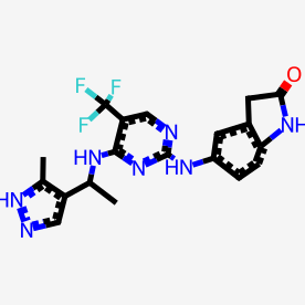 Cc1[nH]ncc1C(C)Nc1nc(Nc2ccc3c(c2)CC(=O)N3)ncc1C(F)(F)F